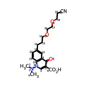 CN(C)n1cc(C(=O)O)c(=O)c2cc(CCCOCCOCCC#N)ccc21